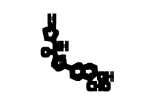 O=Cc1c(O)ccc2cc(-c3ccc(C(=O)NC4CCNC4)s3)ccc12